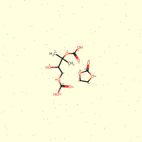 CC(C)(OC(=O)O)C(O)COC(=O)O.O=C1OCCO1